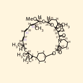 C=C1C2CCC(CC2)OC(=O)[C@@H]2CCCCN2C(=O)C(=O)[C@]2(O)O[C@@H](CC[C@H]2C)C[C@H](OC)/C(C)=C/C=C/C=C/[C@@H](C)C[C@H]1C